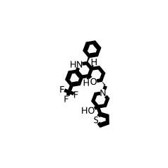 OC1(c2cccs2)CCN(C[C@H]2CC[C@@H]3[C@H](O2)c2cc(C(F)(F)F)ccc2N[C@H]3c2ccccc2)CC1